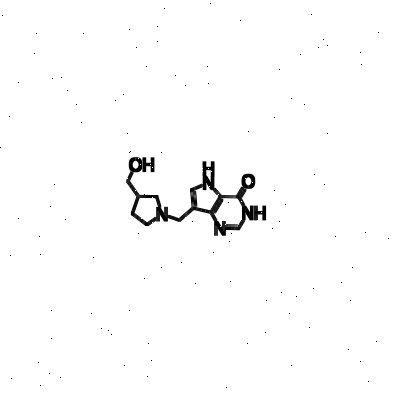 O=c1[nH]cnc2c(CN3CCC(CO)C3)c[nH]c12